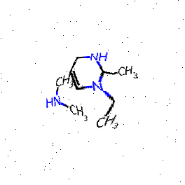 CCN1C=CCNC1C.CNC